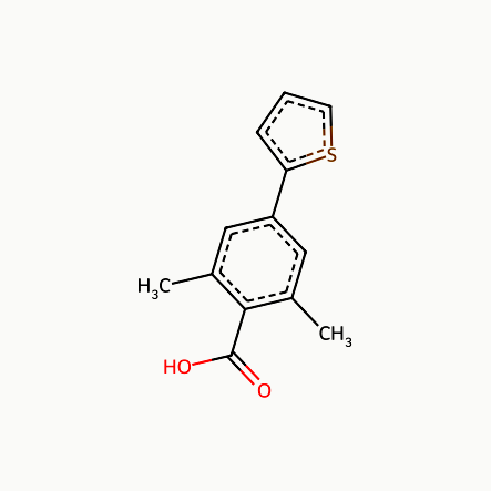 Cc1cc(-c2cccs2)cc(C)c1C(=O)O